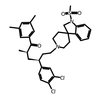 Cc1cc(C)cc(C(=O)[C@H](C)C[C@@H](CCN2CCC3(CC2)CN(S(C)(=O)=O)c2ccccc23)c2ccc(Cl)c(Cl)c2)c1